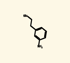 CC(C)(C)CCc1cccc(N)c1